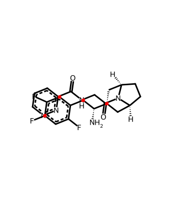 N[C@H](Cc1cc(F)c(F)cc1F)[C@@H]1C[C@H]2CC[C@@H](C1)N2C(=O)CNC(=O)c1cccnn1